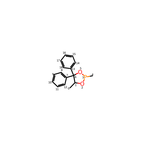 CC1OP(C)OC1(c1ccccc1)c1ccccc1